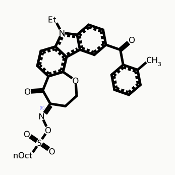 CCCCCCCCS(=O)(=O)O/N=C1\CCOc2c(ccc3c2c2cc(C(=O)c4ccccc4C)ccc2n3CC)C1=O